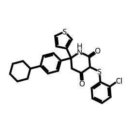 O=C1CC(c2ccc(C3CCCCC3)cc2)(c2ccsc2)NC(=O)C1Sc1ccccc1Cl